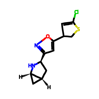 ClC1=CC(c2cc([C@H]3C[C@H]4C[C@H]4N3)no2)CS1